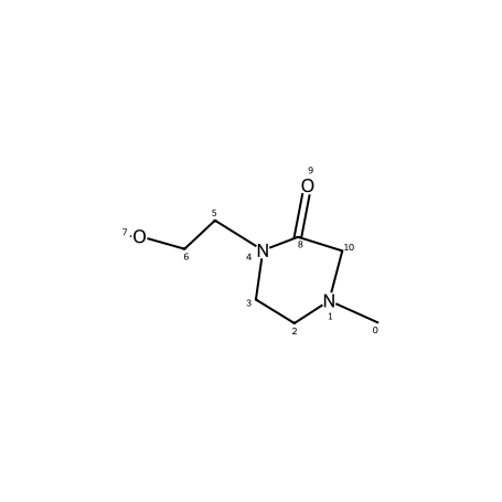 CN1CCN(CC[O])C(=O)C1